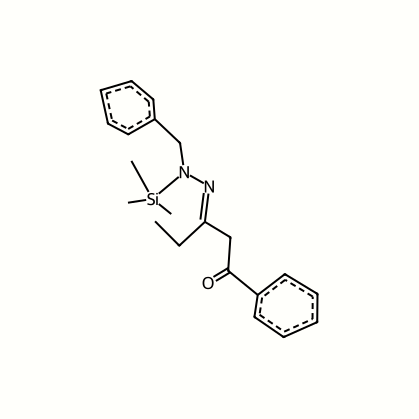 CC/C(CC(=O)c1ccccc1)=N\N(Cc1ccccc1)[Si](C)(C)C